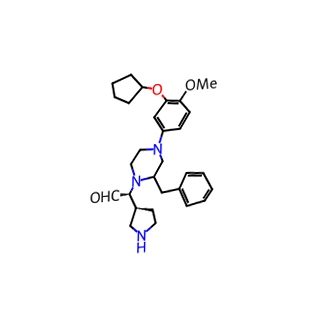 COc1ccc(N2CCN([C@H](C=O)[C@H]3CCNC3)C(Cc3ccccc3)C2)cc1OC1CCCC1